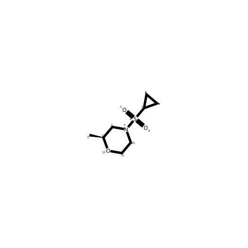 C[C@H]1CN(S(=O)(=O)C2CC2)CCO1